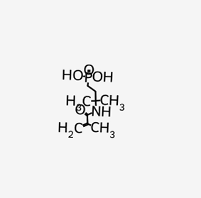 C=C(C)C(=O)NC(C)(C)CCP(=O)(O)O